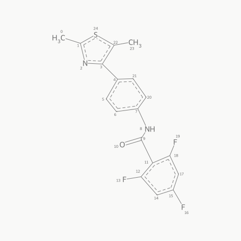 Cc1nc(-c2ccc(NC(=O)c3c(F)cc(F)cc3F)cc2)c(C)s1